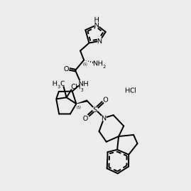 CC1(C)C2CC[C@@]1(CS(=O)(=O)N1CCC3(CCc4ccccc43)CC1)C(NC(=O)[C@@H](N)Cc1c[nH]cn1)C2.Cl